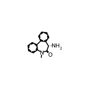 CN1C(=O)[C@@H](N)c2ccccc2-c2ccccc21